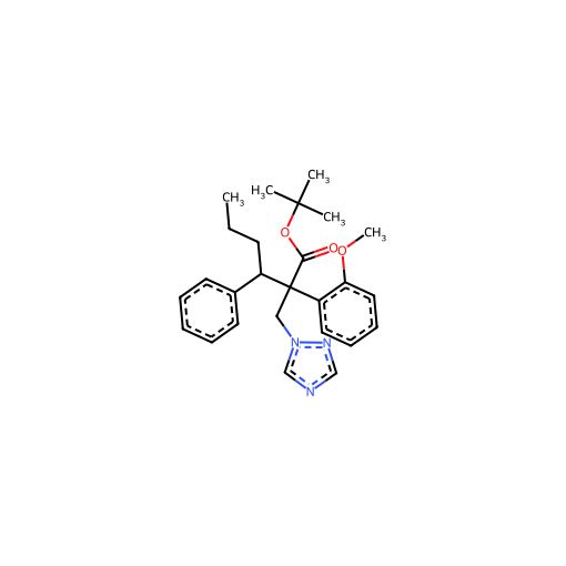 CCCC(c1ccccc1)C(Cn1cncn1)(C(=O)OC(C)(C)C)c1ccccc1OC